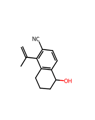 C=C(C)c1c(C#N)ccc2c1CCCC2O